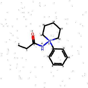 CCC(=O)N[N+]1(c2ccccc2)CCCCC1